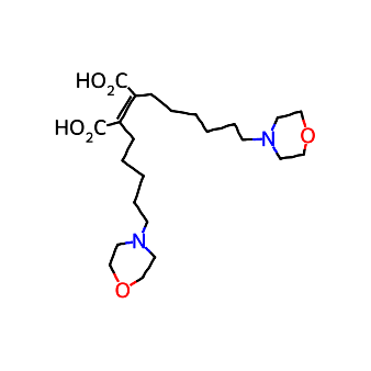 O=C(O)C(CCCCCCN1CCOCC1)=C(CCCCCN1CCOCC1)C(=O)O